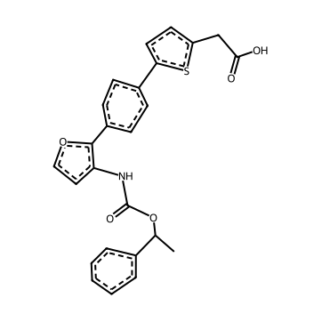 CC(OC(=O)Nc1ccoc1-c1ccc(-c2ccc(CC(=O)O)s2)cc1)c1ccccc1